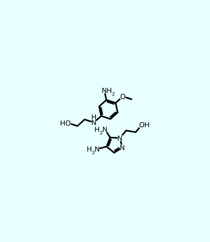 COc1ccc(NCCO)cc1N.Nc1cnn(CCO)c1N